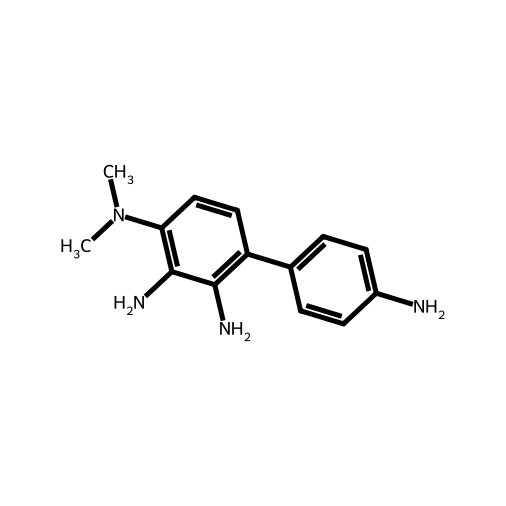 CN(C)c1ccc(-c2ccc(N)cc2)c(N)c1N